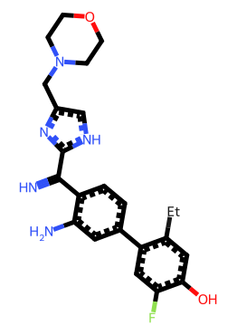 CCc1cc(O)c(F)cc1-c1ccc(C(=N)c2nc(CN3CCOCC3)c[nH]2)c(N)c1